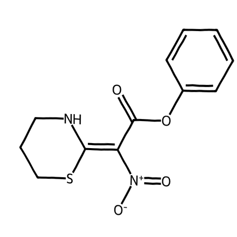 O=C(Oc1ccccc1)C(=C1NCCCS1)[N+](=O)[O-]